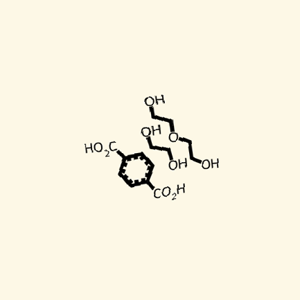 O=C(O)c1ccc(C(=O)O)cc1.OCCO.OCCOCCO